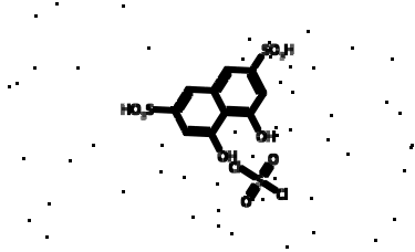 O=S(=O)(Cl)Cl.O=S(=O)(O)c1cc(O)c2c(O)cc(S(=O)(=O)O)cc2c1